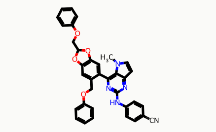 Cn1ccc2nc(Nc3ccc(C#N)cc3)nc(-c3cc4c(cc3COc3ccccc3)OC(COc3ccccc3)O4)c21